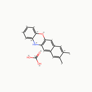 Cc1cc2cc3c(cc2cc1C)Oc1ccccc1N3.O=C(O)O